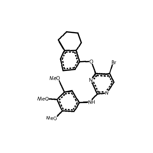 COc1cc(Nc2ncc(Br)c(Oc3cccc4c3CCCC4)n2)cc(OC)c1OC